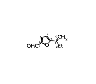 C=C(CC)c1ccc(C=O)o1